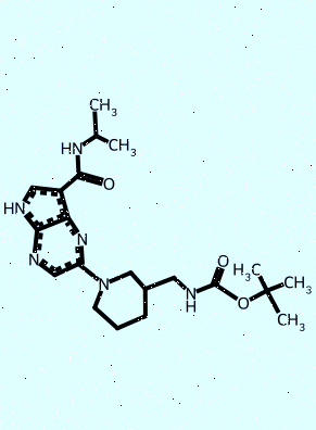 CC(C)NC(=O)c1c[nH]c2ncc(N3CCCC(CNC(=O)OC(C)(C)C)C3)nc12